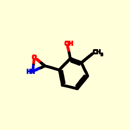 Cc1cccc(C2NO2)c1O